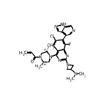 C=CC(=O)N1C[C@H](C)N(c2nc(N3CC(N(C)C)C3)nc3c(F)c(-c4cncc5[nH]ncc45)c(Cl)cc23)C[C@H]1C